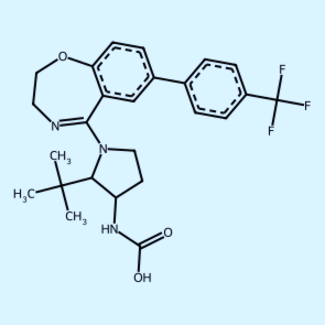 CC(C)(C)C1C(NC(=O)O)CCN1C1=NCCOc2ccc(-c3ccc(C(F)(F)F)cc3)cc21